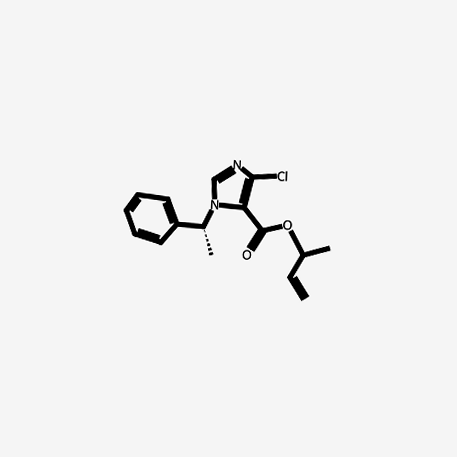 C=CC(C)OC(=O)c1c(Cl)ncn1[C@H](C)c1ccccc1